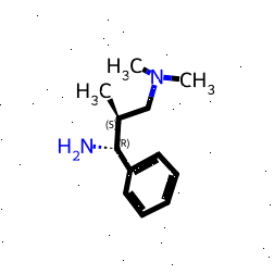 C[C@@H](CN(C)C)[C@@H](N)c1ccccc1